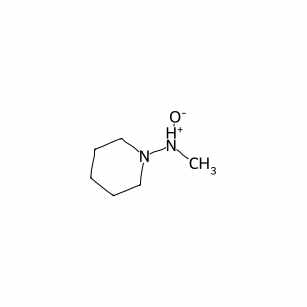 C[NH+]([O-])N1CCCCC1